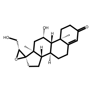 C[C@]12CCC(=O)C=C1CC[C@@H]1[C@@H]2[C@@H](O)C[C@@]2(C)[C@H]1CC[C@@]21O[C@@H]1CO